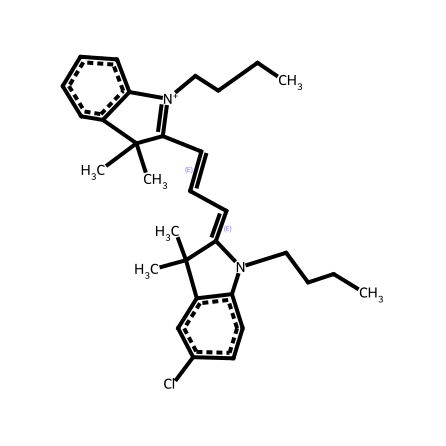 CCCCN1/C(=C/C=C/C2=[N+](CCCC)c3ccccc3C2(C)C)C(C)(C)c2cc(Cl)ccc21